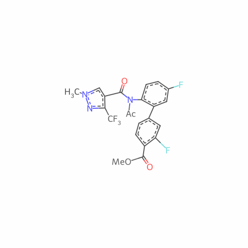 COC(=O)c1ccc(-c2cc(F)ccc2N(C(C)=O)C(=O)c2cn(C)nc2C(F)(F)F)cc1F